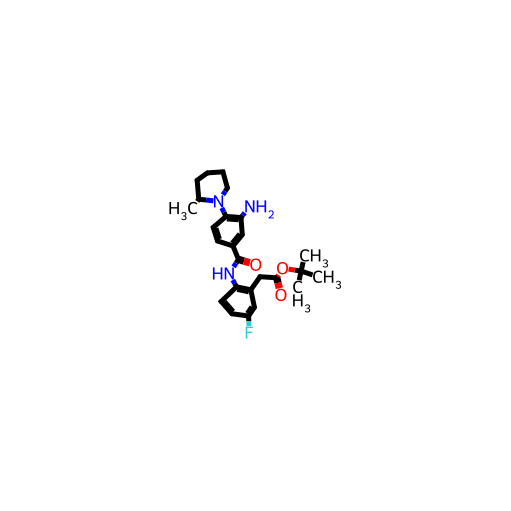 CC1CCCCN1c1ccc(C(=O)Nc2ccc(F)cc2CC(=O)OC(C)(C)C)cc1N